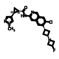 Cn1cc([C@H]2C[C@@H]2C(=O)Nc2cc3cc([C@H]4C[C@@H](N5CC(F)C5)C4)c(Cl)cc3cn2)cn1